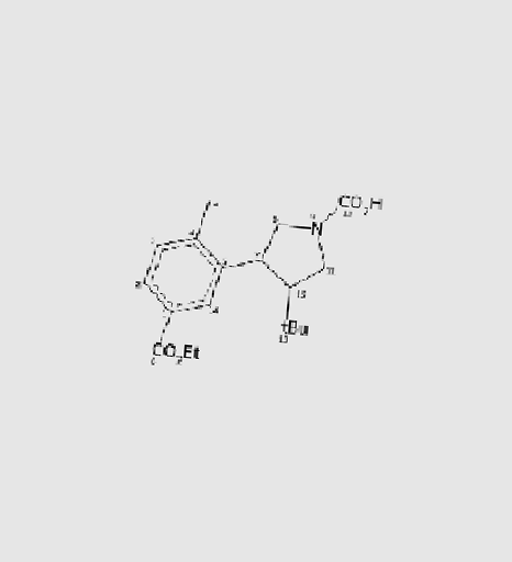 CCOC(=O)c1ccc(C)c(C2CN(C(=O)O)CC2C(C)(C)C)c1